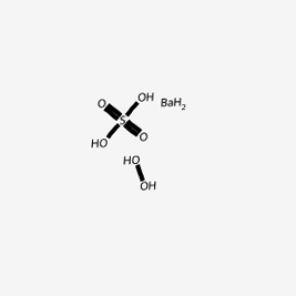 O=S(=O)(O)O.OO.[BaH2]